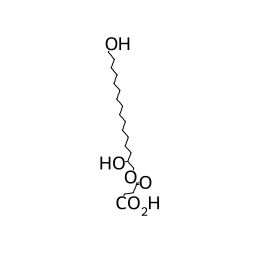 O=C(O)CCC(=O)OCC(O)CCCCCCCCCCCCCCO